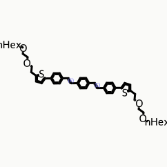 CCCCCCOCCOCCc1ccc(-c2ccc(/C=C/c3ccc(/C=C/c4ccc(-c5ccc(CCOCCOCCCCCC)s5)cc4)cc3)cc2)s1